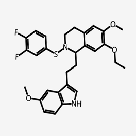 CCOc1cc2c(cc1OC)CCN(Sc1ccc(F)c(F)c1)C2CCc1c[nH]c2ccc(OC)cc12